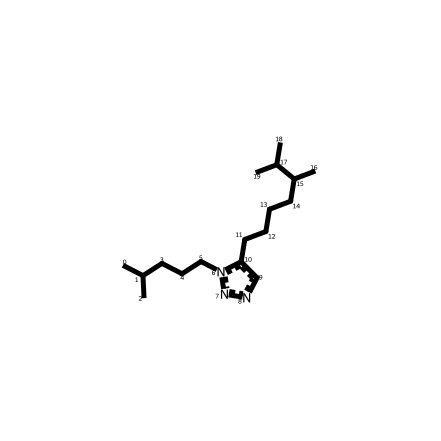 CC(C)CCCn1nncc1CCCCC(C)C(C)C